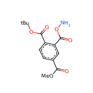 COC(=O)c1ccc(C(=O)OC(C)(C)C)c(C(=O)ON)c1